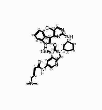 CN(C)C/C=C/C(=O)Nc1ccc(CN(C(=O)OC(C)(C)C)[C@H]2CCC[C@@H](Nc3ncc(Cl)c(-c4c[nH]c5ccccc45)n3)C2)nc1